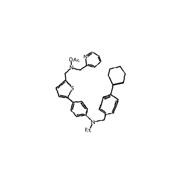 CCN(Cc1ccc(C2CCCCC2)cc1)c1ccc(-c2ccc(CN(Cc3ccccn3)OC(C)=O)s2)cc1